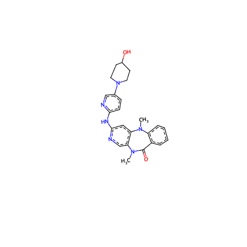 CN1C(=O)c2ccccc2N(C)c2cc(Nc3ccc(N4CCC(O)CC4)cn3)ncc21